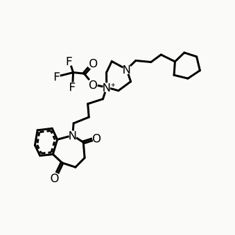 O=C1CCC(=O)N(CCCC[N+]2(OC(=O)C(F)(F)F)CCN(CCCC3CCCCC3)CC2)c2ccccc21